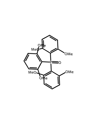 COc1cccc(OC)c1P(=O)(c1c(OC)cccc1OC)c1c(OC)cccc1OC